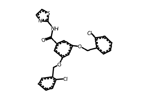 O=C(Nc1nccs1)c1cc(OCc2ccccc2Cl)cc(OCc2ccccc2Cl)c1